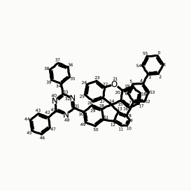 c1ccc(-c2ccc(-c3cccc4c3C3(c5ccccc5Oc5ccccc53)c3cc(-c5nc(-c6ccccc6)nc(-c6ccccc6)n5)ccc3-4)cc2)cc1